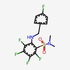 CN(C)S(=O)(=O)c1c(F)c(F)c(F)c(F)c1NCc1ccc(F)cc1